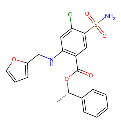 C[C@H](OC(=O)c1cc(S(N)(=O)=O)c(Cl)cc1NCc1ccco1)c1ccccc1